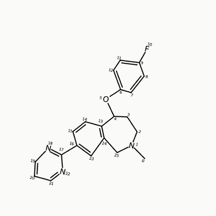 CN1CCC(Oc2ccc(F)cc2)c2ccc(-c3ncccn3)cc2C1